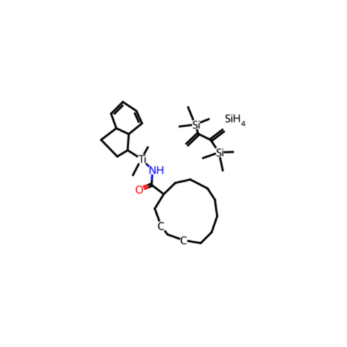 C=C(C(=C)[Si](C)(C)C)[Si](C)(C)C.[CH3][Ti]([CH3])([NH]C(=O)C1CCCCCCCCCCC1)[CH]1CCC2C=CC=CC21.[SiH4]